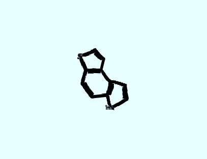 c1cc2c(ccc3sccc32)[nH]1